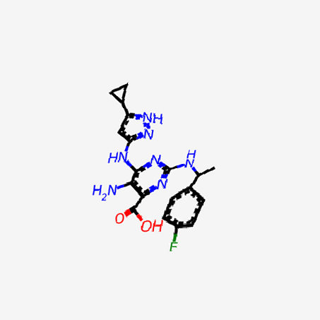 CC(Nc1nc(Nc2cc(C3CC3)[nH]n2)c(N)c(C(=O)O)n1)c1ccc(F)cc1